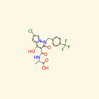 CC(NC(=O)c1c(O)c2cc(Cl)cn2n(Cc2ccc(C(F)(F)F)cc2)c1=O)C(=O)O